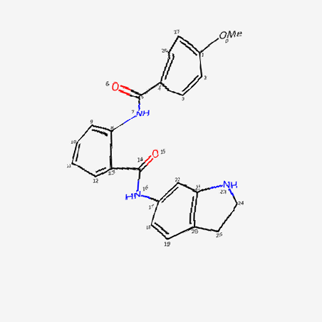 COc1ccc(C(=O)Nc2ccccc2C(=O)Nc2ccc3c(c2)NCC3)cc1